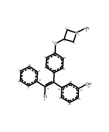 CCCN1CC(Oc2ccc(C(=C(CC)c3ccccc3)c3cccc(O)c3)cc2)C1